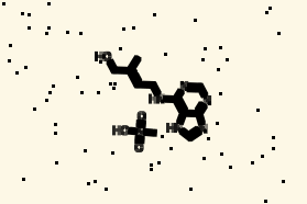 C/C(=C\CNc1ncnc2nc[nH]c12)CO.CS(=O)(=O)O